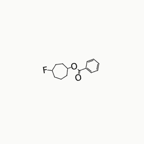 O=C(OC1CCCC(F)CC1)c1ccccc1